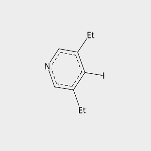 CCc1cncc(CC)c1I